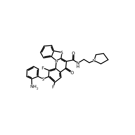 Nc1ccccc1Sc1c(F)cc2c(=O)c(C(=O)NCCN3CCCC3)c3sc4ccccc4n3c2c1F